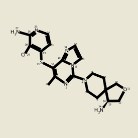 Cc1nc(N2CCC3(CC2)COC[C@H]3N)n2ccnc2c1Sc1ccnc(N)c1Cl